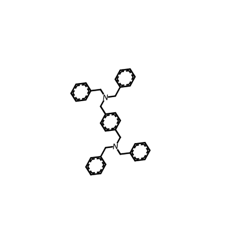 c1ccc(CN(Cc2ccccc2)Cc2ccc(CN(Cc3ccccc3)Cc3ccccc3)cc2)cc1